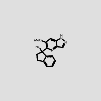 COc1cc2[nH]ncc2nc1C1(C#N)CCc2ccccc21